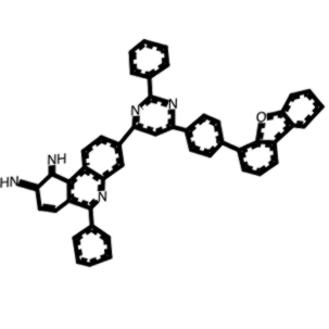 N=C1C=Cc2c(-c3ccccc3)nc3cc(-c4cc(-c5ccc(-c6cccc7c6oc6ccccc67)cc5)nc(-c5ccccc5)n4)ccc3c2C1=N